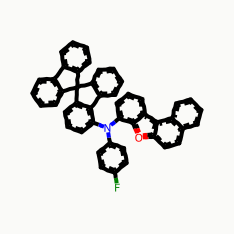 Fc1ccc(N(c2cccc3c2-c2ccccc2C32c3ccccc3-c3ccccc32)c2cccc3c2oc2ccc4ccccc4c23)cc1